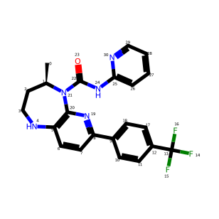 C[C@@H]1CCNc2ccc(-c3ccc(C(F)(F)F)cc3)nc2N1C(=O)Nc1ccccn1